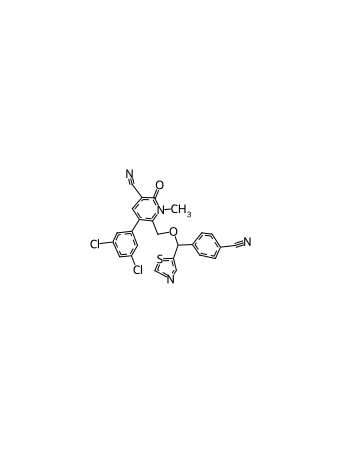 Cn1c(COC(c2ccc(C#N)cc2)c2cncs2)c(-c2cc(Cl)cc(Cl)c2)cc(C#N)c1=O